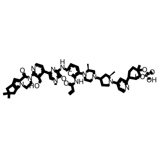 C=CC(=O)Nc1cc(Nc2nc(-c3ccnc(N4CCn5c(cc6c5CC(C)(C)C6)C4=O)c3CO)cn(C)c2=O)ccc1N1CCN(C2CCN(c3ccnc(C4CCC(C)(OP(=O)(O)O)CC4)c3)[C@H](C)C2)C[C@@H]1C